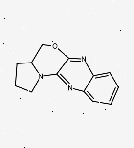 c1ccc2nc3c(nc2c1)OCC1CCCN31